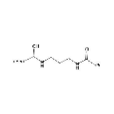 CCCCCC(O)NCCCNC(=O)CCC